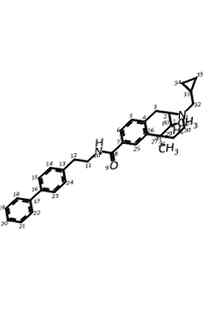 C[C@H]1C2Cc3ccc(C(=O)NCCc4ccc(-c5ccccc5)cc4)cc3[C@]1(C)CCN2CC1CC1